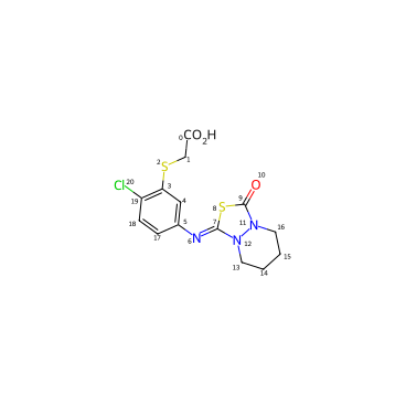 O=C(O)CSc1cc(N=c2sc(=O)n3n2CCCC3)ccc1Cl